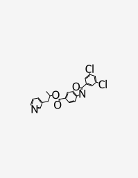 CC(Cc1cccnc1)OC(=O)c1ccc2nc(-c3cc(Cl)cc(Cl)c3)oc2c1